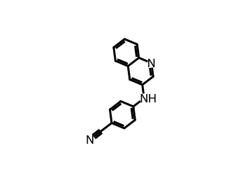 N#Cc1ccc(Nc2cnc3ccccc3c2)cc1